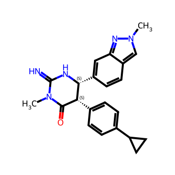 CN1C(=N)N[C@H](c2ccc3cn(C)nc3c2)[C@H](c2ccc(C3CC3)cc2)C1=O